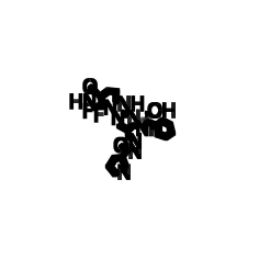 O=C1NC(F)(F)c2nc(Nc3ncc(-c4nnc(-c5cccnc5)o4)c(N[C@H](CO)c4ccccc4)n3)ccc21